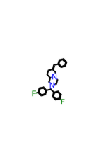 Fc1ccc(C(c2ccc(F)cc2)N2CCN3CC(=Cc4ccccc4)CCC3C2)cc1